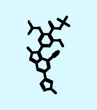 COc1cc(-c2c3c(C#N)cc(-c4cnn(C)c4)cc3nn2C)cc(OC(F)F)c1C(=O)OC(C)(C)C